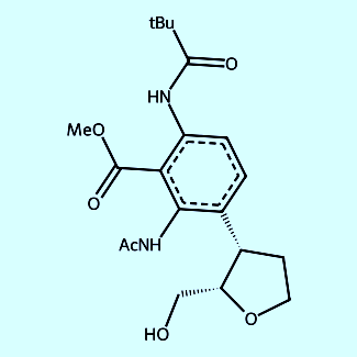 COC(=O)c1c(NC(=O)C(C)(C)C)ccc([C@@H]2CCO[C@@H]2CO)c1NC(C)=O